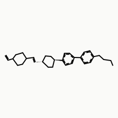 C=CC1CCC(C=C[C@H]2CC[C@H](c3ccc(-c4ccc(CCCC)cc4)cc3)CC2)CC1